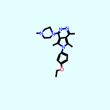 CCOc1ccc(-n2c(C)c3c(C)nnc(N4CCN(C)CC4)c3c2C)cc1